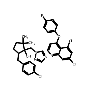 CC1(C)CCC(Cc2ccc(Cl)cc2)C1(O)Cn1cncn1.Fc1ccc(Oc2ccnc3cc(Cl)cc(Cl)c23)cc1